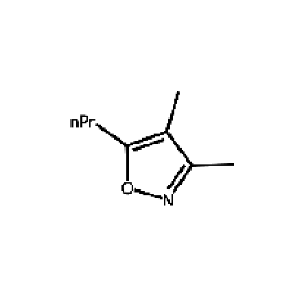 CCCc1onc(C)c1C